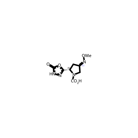 CO/N=C1\C[C@@H](c2n[nH]c(=O)o2)N(C(=O)O)C1